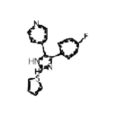 Fc1ccc(-c2nc([SH]3C=CC=C3)[nH]c2-c2ccncc2)cc1